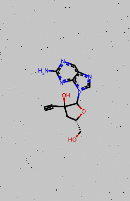 C#C[C@@]1(O)C[C@@H](CO)OC1n1cnc2cnc(N)nc21